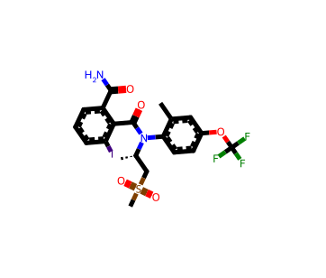 Cc1cc(OC(F)(F)F)ccc1N(C(=O)c1c(I)cccc1C(N)=O)[C@@H](C)CS(C)(=O)=O